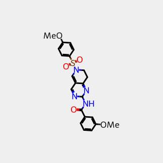 COc1ccc(S(=O)(=O)N2C=C3C=NC(NC(=O)c4cccc(OC)c4)N=C3CC2)cc1